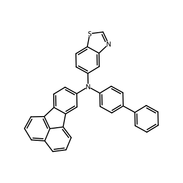 c1ccc(-c2ccc(N(c3ccc4c(c3)-c3cccc5cccc-4c35)c3ccc4scnc4c3)cc2)cc1